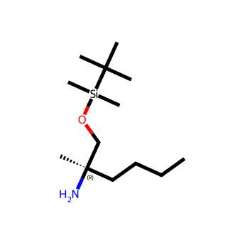 CCCC[C@@](C)(N)CO[Si](C)(C)C(C)(C)C